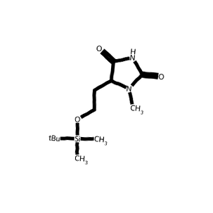 CN1C(=O)NC(=O)C1CCO[Si](C)(C)C(C)(C)C